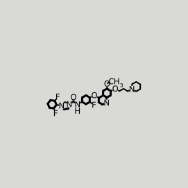 COc1cc2c(Oc3ccc(NC(=O)N4C=CN(c5c(F)cccc5F)C4)cc3F)ccnc2cc1OCCCN1CCCCC1